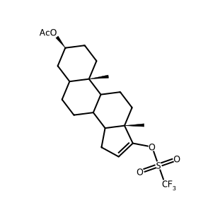 CC(=O)O[C@H]1CC[C@@]2(C)C(CCC3C2CC[C@]2(C)C(OS(=O)(=O)C(F)(F)F)=CCC32)C1